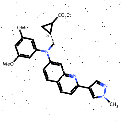 CCOC(=O)C1C[C@H]1CN(c1cc(OC)cc(OC)c1)c1ccc2ccc(-c3cnn(C)c3)nc2c1